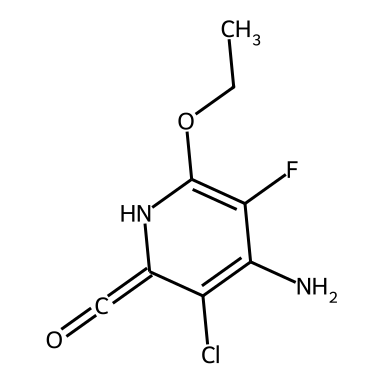 CCOC1=C(F)C(N)=C(Cl)C(=C=O)N1